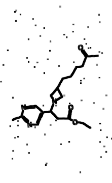 CCOC(=O)CC(c1cnc(C)nc1)N1CC(CCCCC(C)=O)C1